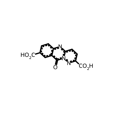 O=C(O)c1ccc2nc3ccc(C(=O)O)nn3c(=O)c2c1